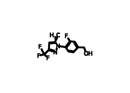 Cc1cc(C(F)(F)F)nn1-c1ccc(CO)cc1F